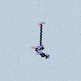 Cc1ncsc1-c1ccc(CNC(=O)[C@@H]2C[C@@H](O)CN2C(=O)C(NC(=O)CCCCCCCCCCCCCCC(=O)O)C(C)(C)C)cc1